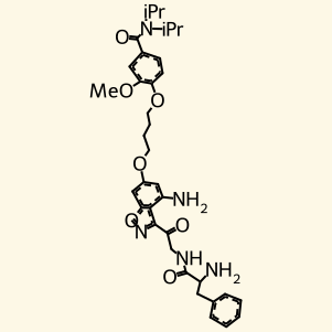 COc1cc(C(=O)N(C(C)C)C(C)C)ccc1OCCCCOc1cc(N)c2c(C(=O)CNC(=O)C(N)Cc3ccccc3)noc2c1